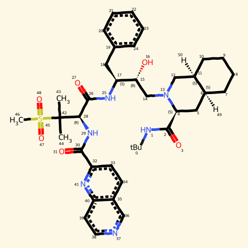 CC(C)(C)NC(=O)[C@@H]1C[C@@H]2CCCC[C@@H]2CN1C[C@@H](O)[C@H](Cc1ccccc1)NC(=O)[C@@H](NC(=O)c1ccc2cnccc2n1)C(C)(C)S(C)(=O)=O